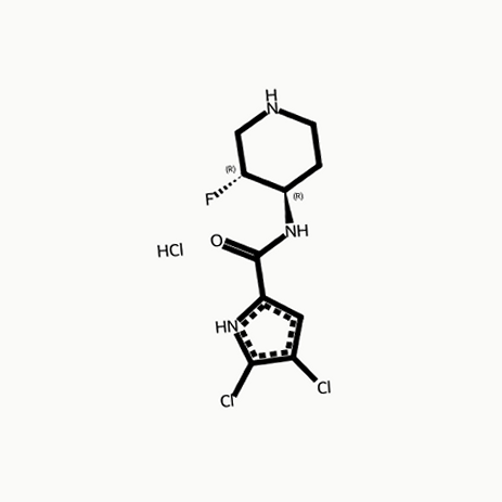 Cl.O=C(N[C@@H]1CCNC[C@H]1F)c1cc(Cl)c(Cl)[nH]1